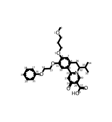 COCCCOc1cc2c(cc1OCCOc1ccccc1)-c1cc(=O)c(C(=O)O)cn1C(C(C)C)C2